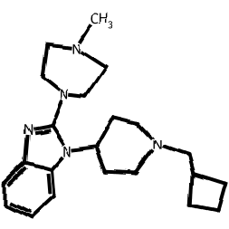 CN1CCN(c2nc3ccccc3n2C2CCN(CC3CCC3)CC2)CC1